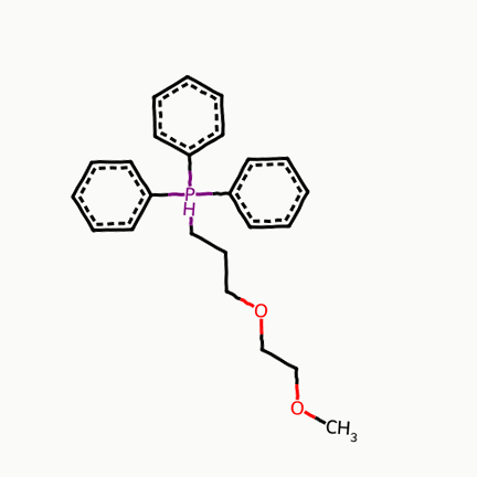 COCCOCCC[PH](c1ccccc1)(c1ccccc1)c1ccccc1